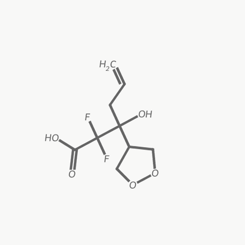 C=CCC(O)(C1COOC1)C(F)(F)C(=O)O